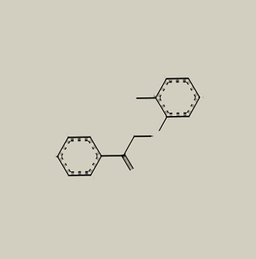 O=C(COc1ccccc1Br)c1ccccc1